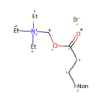 CCCCCCCCCCCC(=O)OC[N+](CC)(CC)CC.[Br-]